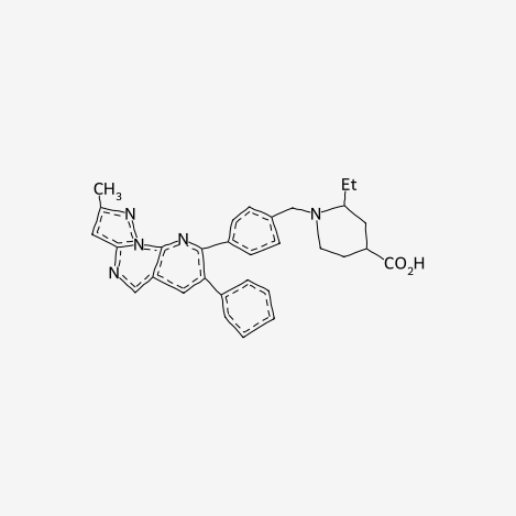 CCC1CC(C(=O)O)CCN1Cc1ccc(-c2nc3c(cnc4cc(C)nn43)cc2-c2ccccc2)cc1